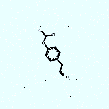 C=CCc1ccc(OC(Cl)Cl)cc1